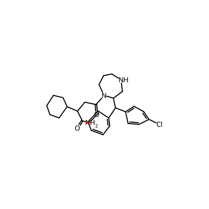 NC(=O)C(CC(=O)N1CCCNCC1C(c1ccccc1)c1ccc(Cl)cc1)C1CCCCC1